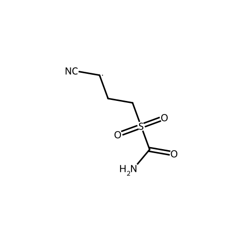 N#C[CH]CCS(=O)(=O)C(N)=O